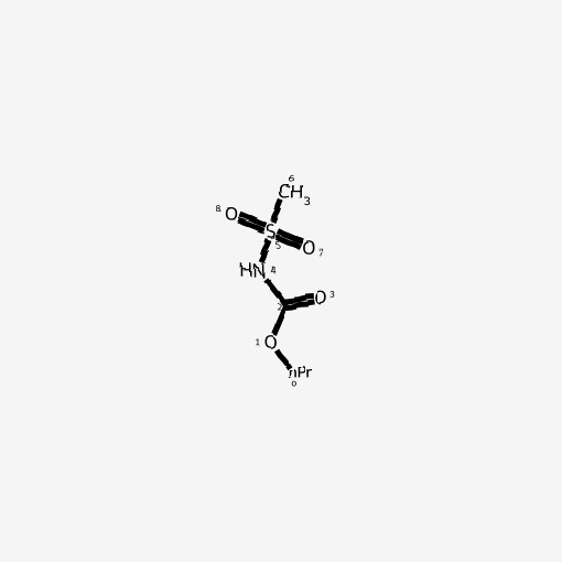 CCCOC(=O)NS(C)(=O)=O